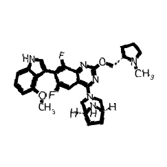 COc1cccc2[nH]cc(-c3c(F)cc4c(N5C[C@H]6CC[C@@H](C5)N6)nc(OC[C@@H]5CCCN5C)nc4c3F)c12